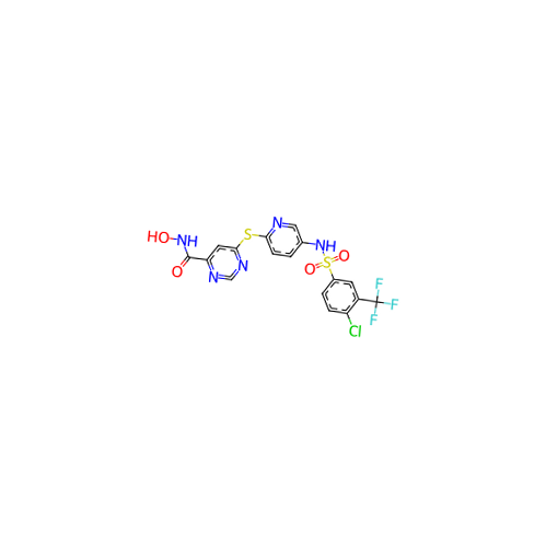 O=C(NO)c1cc(Sc2ccc(NS(=O)(=O)c3ccc(Cl)c(C(F)(F)F)c3)cn2)ncn1